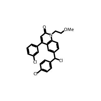 COCCn1c(=O)cc(-c2cccc(Cl)c2)c2cc(C(Cl)c3ccc(Cl)cc3)ccc21